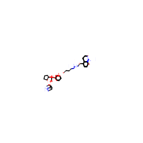 O=C(OC1CN2CCC1CC2)C(O)(c1cccc(OCCCCCNCC(O)c2ccc(O)c3[nH]c(=O)ccc23)c1)C1CCCC1